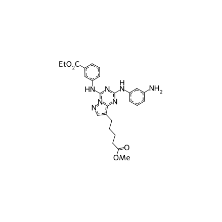 CCOC(=O)c1cccc(Nc2nc(Nc3cccc(N)c3)nc3c(CCCCC(=O)OC)cnn23)c1